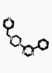 c1ccc(-c2cc(N3CCN(Cc4ccncc4)CC3)ncn2)cc1